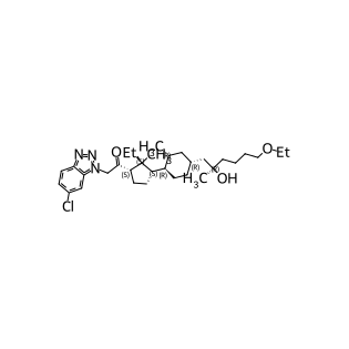 CCOCCCC[C@@](C)(O)C[C@@H]1CC[C@@H]([C@@H]2CC[C@H](C(=O)Cn3nnc4ccc(Cl)cc43)[C@@]2(C)CC)[C@H](C)C1